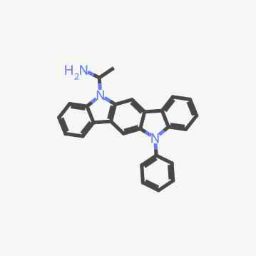 CC(N)n1c2ccccc2c2cc3c(cc21)c1ccccc1n3-c1ccccc1